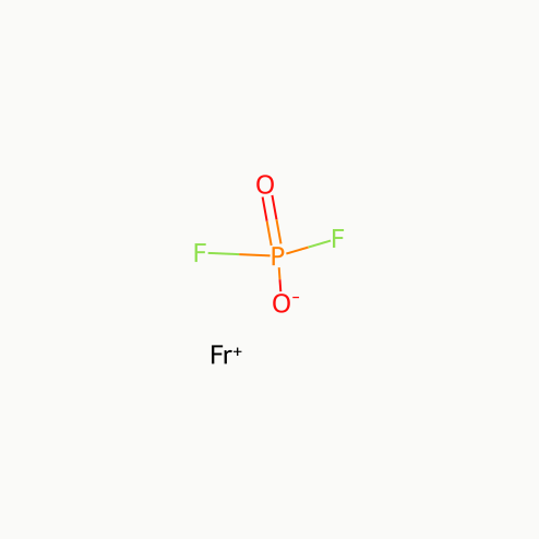 O=P([O-])(F)F.[Fr+]